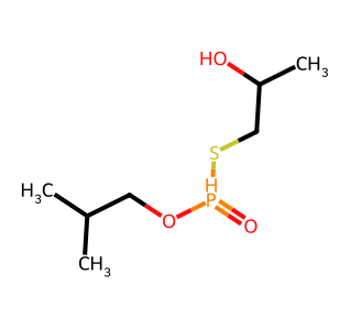 CC(C)CO[PH](=O)SCC(C)O